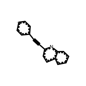 C(#Cc1ccc2ccccc2n1)c1cc[c]cc1